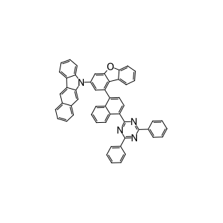 c1ccc(-c2nc(-c3ccccc3)nc(-c3ccc(-c4cc(-n5c6ccccc6c6cc7ccccc7cc65)cc5oc6ccccc6c45)c4ccccc34)n2)cc1